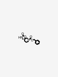 O=C1NC[C@@]2(CCCN(C(=O)OCc3ccccc3)C2)O1